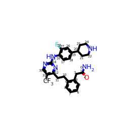 NC(=O)Cc1ccccc1CCc1nc(Nc2ccc(C3CCNCC3)cc2F)ncc1C(F)(F)F